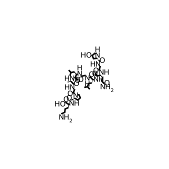 CC(C)CC[C@@H](NC(=O)[C@H](CCC(N)=O)NC(=O)CNC(=O)[C@@H]1C[C@@H](O)CN1)C(=O)NCC(=O)N[C@H](CC(C)C)C(=O)N[C@H](C)C(=O)NCC(=O)N1CCC[C@H]1C(=O)N[C@@H](CCCCN)C(=O)O